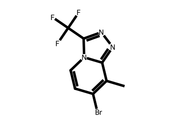 Cc1c(Br)ccn2c(C(F)(F)F)nnc12